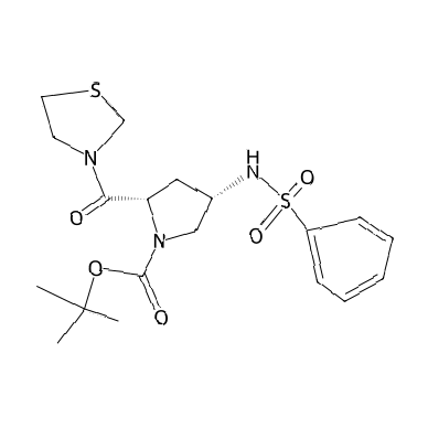 CC(C)(C)OC(=O)N1C[C@@H](NS(=O)(=O)c2ccccc2)C[C@H]1C(=O)N1CCSC1